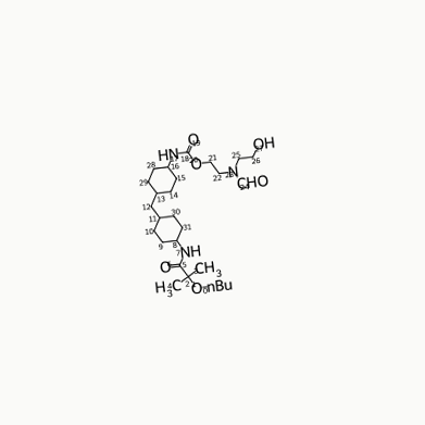 CCCCOC(C)(C)C(=O)NC1CCC(CC2CCC(NC(=O)OCCN(C=O)CCO)CC2)CC1